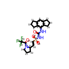 O=C(Nc1c2c(cc3c1CCC3)CCC2)NS(=O)(=O)/C=C/C1CCCN1C(=O)C(F)(F)F